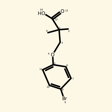 CC(C)(COc1ccc(Br)cc1)C(=O)O